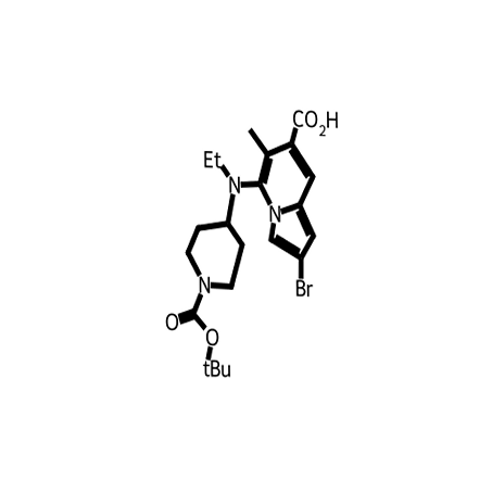 CCN(c1c(C)c(C(=O)O)cc2cc(Br)cn12)C1CCN(C(=O)OC(C)(C)C)CC1